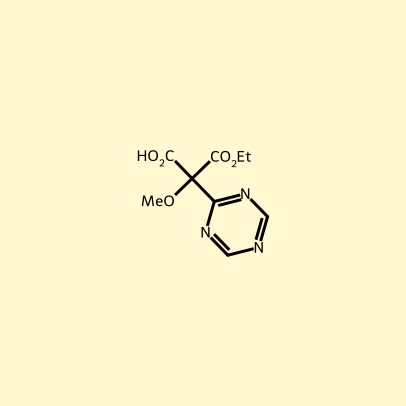 CCOC(=O)C(OC)(C(=O)O)c1ncncn1